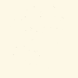 CC1(C)c2ccccc2N(c2cc(-c3ccccc3-c3cccc(C#N)c3C#N)cc(-n3c4ccccc4c4ccccc43)c2)c2ccccc21